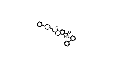 O=C(Nc1ccccc1-c1ccccc1)c1ccc2c(c1)CCC(CCN1CCC(c3ccccc3)CC1)C2=O